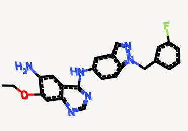 CCOc1cc2ncnc(Nc3ccc4c(cnn4Cc4cccc(F)c4)c3)c2cc1N